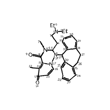 CCN(CC)CCC1N(C)C(=O)c2c(C)c(=O)ccn2N1C1c2ccccc2CCc2ccccc21